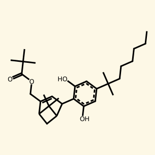 CCCCCCC(C)(C)c1cc(O)c(C2C=C(COC(=O)C(C)(C)C)C3CC2C3(C)C)c(O)c1